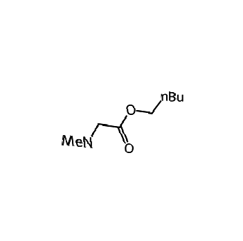 CCCCCOC(=O)CNC